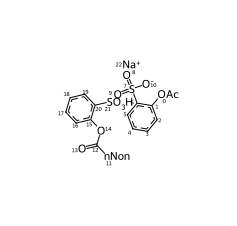 CC(=O)Oc1ccccc1S(=O)(=O)[O-].CCCCCCCCCC(=O)Oc1ccccc1S(=O)(=O)O.[Na+]